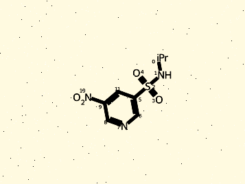 CC(C)NS(=O)(=O)c1cncc([N+](=O)[O-])c1